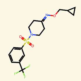 O=S(=O)(c1cccc(C(F)(F)F)c1)N1CCC(=NOCC2CC2)CC1